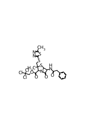 Cc1nnc(SCC2(C)SC3C(NC(=O)Cc4ccccc4)C(=O)N3C2C(=O)OCC(Cl)(Cl)Cl)s1